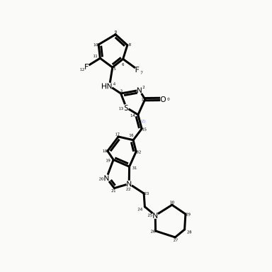 O=C1N=C(Nc2c(F)cccc2F)S/C1=C\c1ccc2ncn(CCN3CCCCC3)c2c1